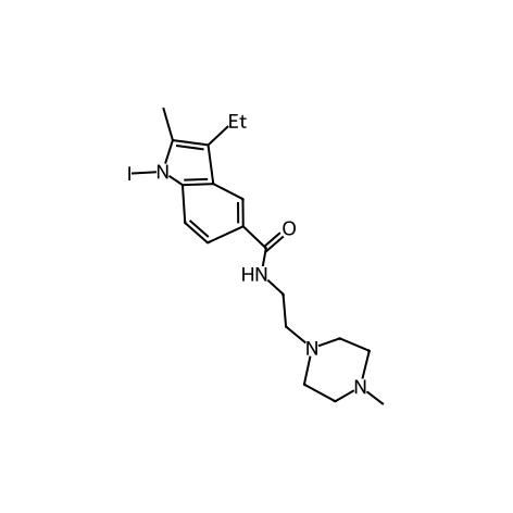 CCc1c(C)n(I)c2ccc(C(=O)NCCN3CCN(C)CC3)cc12